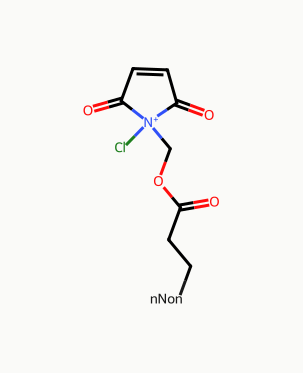 CCCCCCCCCCCC(=O)OC[N+]1(Cl)C(=O)C=CC1=O